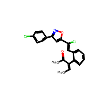 CO/C=C(\C(=O)OC)c1ccccc1/C=C(\Cl)c1cc(-c2ccc(Cl)cc2)no1